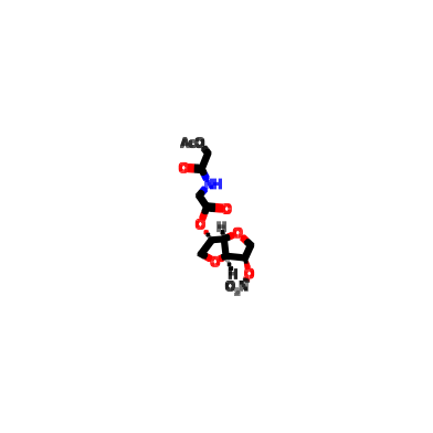 CC(=O)OCC(=O)NCC(=O)O[C@H]1CO[C@H]2[C@@H]1OC[C@H]2O[N+](=O)[O-]